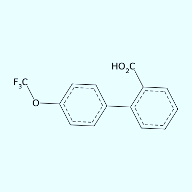 O=C(O)c1ccccc1-c1ccc(OC(F)(F)F)cc1